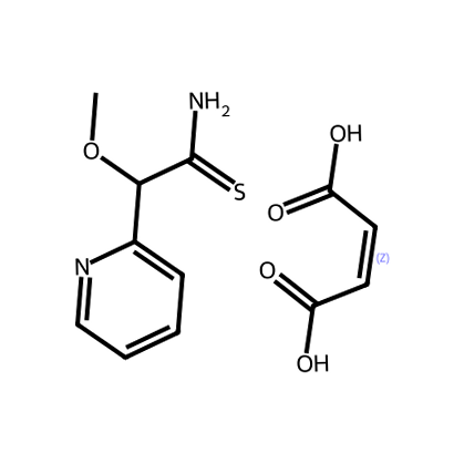 COC(C(N)=S)c1ccccn1.O=C(O)/C=C\C(=O)O